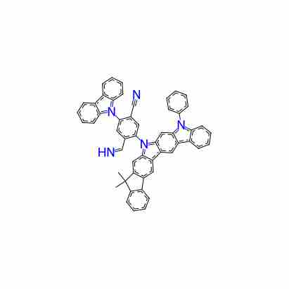 CC1(C)c2ccccc2-c2cc3c4cc5c6ccccc6n(-c6ccccc6)c5cc4n(-c4cc(C#N)c(-n5c6ccccc6c6ccccc65)cc4C=N)c3cc21